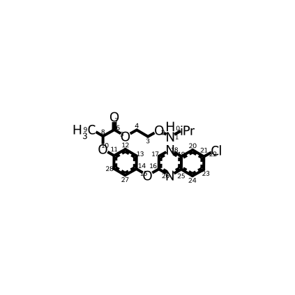 CC(C)NOCCOC(=O)C(C)Oc1ccc(Oc2cnc3cc(Cl)ccc3n2)cc1